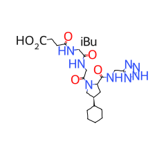 CC[C@H](C)[C@H](NC(=O)CCC(=O)O)C(=O)NCC(=O)N1C[C@H](C2CCCCC2)CC1C(=O)NCc1nn[nH]n1